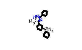 C/C(=N\C(=N)c1ccccc1)c1cccc([SiH2]c2ccccc2)c1